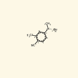 CC[C@@H](C)N(C)c1ccc(C#N)c(C(F)(F)F)c1